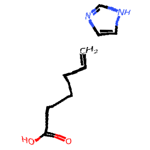 C=CCCCC(=O)O.c1c[nH]cn1